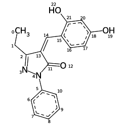 CCC1=NN(c2ccccc2)C(=O)C1=Cc1ccc(O)cc1O